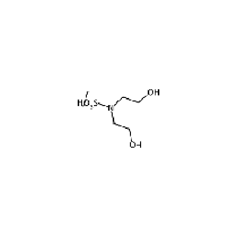 CC.O=S(=O)(O)N(CCO)CCO